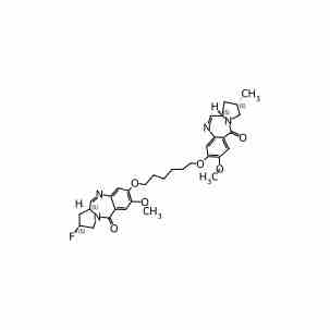 COc1cc2c(cc1OCCCCCCOc1cc3c(cc1OC)C(=O)N1C[C@@H](F)C[C@H]1C=N3)N=C[C@@H]1C[C@H](C)CN1C2=O